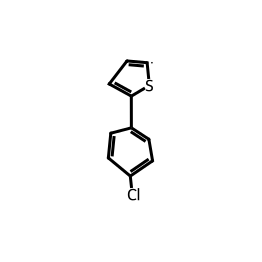 Clc1ccc(-c2cc[c]s2)cc1